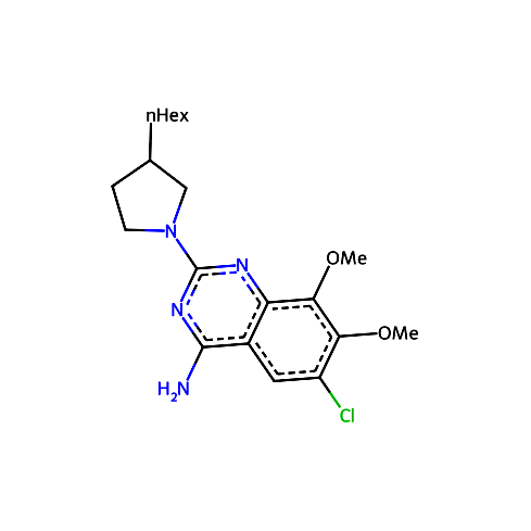 CCCCCCC1CCN(c2nc(N)c3cc(Cl)c(OC)c(OC)c3n2)C1